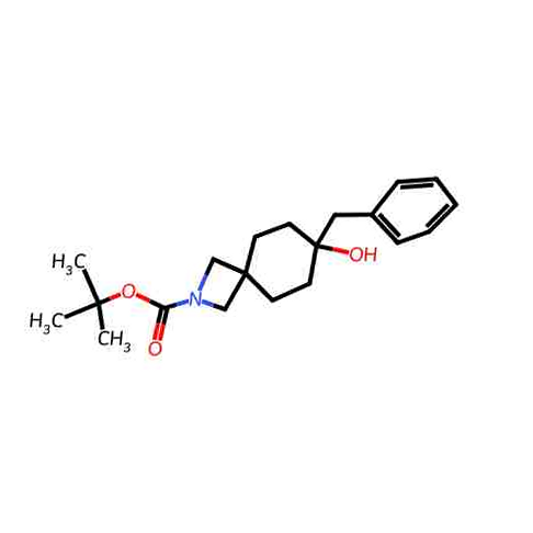 CC(C)(C)OC(=O)N1CC2(CCC(O)(Cc3ccccc3)CC2)C1